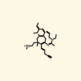 C#CC/C=C/C1=C(/N=C(/C)N(CC)CC=C)CC(/C=C\C(=C/C)CC)=C(C)CC1(C)CCNC